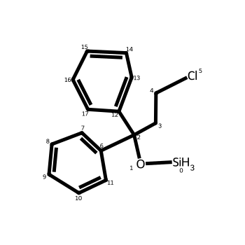 [SiH3]OC(CCCl)(c1ccccc1)c1ccccc1